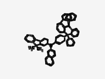 CC1(C)C2=CC(N(C3=CCC(C4(c5ccccc5)c5ccccc5C5(c6ccccc6)c6ccccc6-c6cccc4c65)C=C3)c3ccc4ccccc4c3)CC=C2c2ccccc21